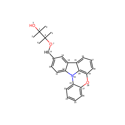 CC(C)(O)C(C)(C)OBc1ccc2c(c1)c1cccc3c1n2-c1ccccc1O3